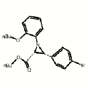 CCCCOC(=O)[C@H]1[C@@H](c2ccc(Br)cc2)N1c1ccccc1OCCCC